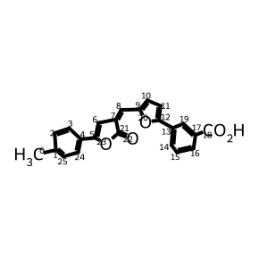 Cc1ccc(C2=C/C(=C/c3ccc(-c4cccc(C(=O)O)c4)o3)C(=O)O2)cc1